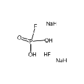 F.O=P(O)(O)F.[NaH].[NaH]